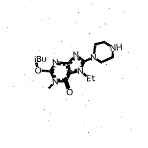 CCC(C)Oc1nc2nc(N3CCNCC3)n(CC)c2c(=O)n1C